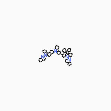 c1ccc([Si]2(c3ccccc3)c3ccccc3N(c3ccc4ccccc4n3)c3ccc(-c4ccc5c(c4)c4ccccc4n5-c4ccc5c(ccc6c5c5ccccc5n6-c5ccc6ccccc6n5)c4)cc32)cc1